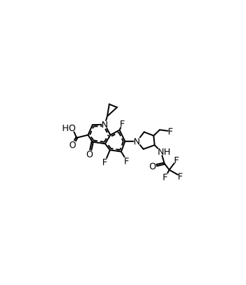 O=C(O)c1cn(C2CC2)c2c(F)c(N3CC(CF)C(NC(=O)C(F)(F)F)C3)c(F)c(F)c2c1=O